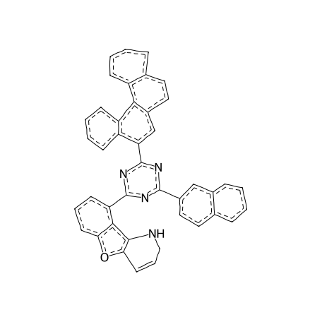 C1=Cc2oc3cccc(-c4nc(-c5ccc6ccccc6c5)nc(-c5cc6ccc7ccccc7c6c6ccccc56)n4)c3c2NC1